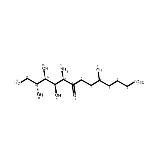 CCCCCCCCCCCCCC(O)CCC(=O)[C@H](N)[C@@H](O)[C@H](O)[C@H](O)CO